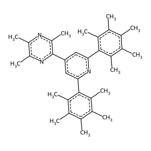 Cc1nc(C)c(-c2cc(-c3c(C)c(C)c(C)c(C)c3C)nc(-c3c(C)c(C)c(C)c(C)c3C)c2)nc1C